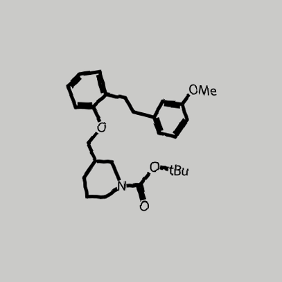 COc1cccc(CCc2ccccc2OCC2CCCN(C(=O)OC(C)(C)C)C2)c1